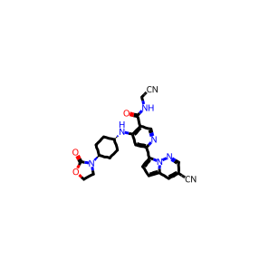 N#CCNC(=O)c1cnc(-c2ccc3cc(C#N)cnn23)cc1N[C@H]1CC[C@H](N2CCOC2=O)CC1